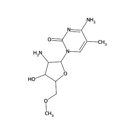 COCC1OC(n2cc(C)c(N)nc2=O)C(N)C1O